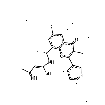 CC(=N)/C=C(\S)N[C@H](C)c1cc(C)cc2c(=O)c(C)c(-c3cccnc3)oc12